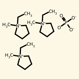 CC[N+]1(C)CCCC1.CC[N+]1(C)CCCC1.CC[N+]1(C)CCCC1.O=P([O-])([O-])[O-]